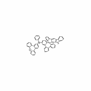 c1ccc(N(c2ccc3c(c2)-c2ccccc2Oc2ccccc2-3)c2ccc3c(c2)-c2ccccc2-c2ccccc2C32c3ccccc3-c3cc4c(cc32)sc2ccccc24)cc1